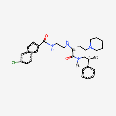 CC[C@H](CN(CC)C(=O)[C@@H](CCN1CCCCC1)NCCNC(=O)c1ccc2cc(Cl)ccc2c1)c1ccccc1